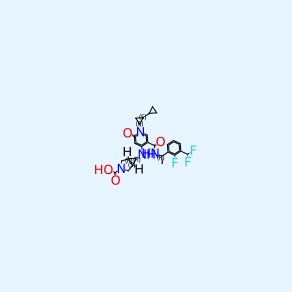 C[C@@H](NC(=O)c1cn([C@@H]2C[C@H]2C2CC2)c(=O)cc1N[C@@H]1[C@@H]2CN(C(=O)O)C[C@@H]21)c1cccc(C(F)F)c1F